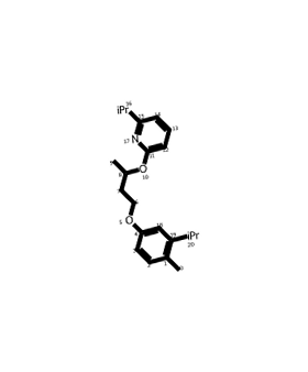 Cc1ccc(OCCC(C)Oc2cccc(C(C)C)n2)cc1C(C)C